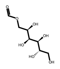 O=COC[C@@H](O)[C@H](O)[C@@H](O)[C@@H](O)CO